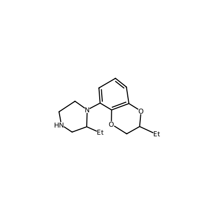 CCC1COc2c(cccc2N2CCNCC2CC)O1